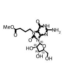 COC(=O)CCCn1c(=O)n([C@@H]2O[C@@H](CO)[C@H](O)[C@H]2O)c2nc(N)[nH]c(=O)c21